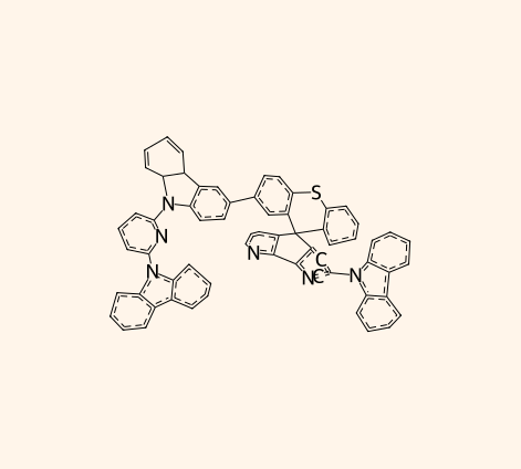 C1=CC2c3cc(-c4ccc5c(c4)C4(c6ccccc6S5)c5cccnc5-c5ncc(-n6c7ccccc7c7ccccc76)cc54)ccc3N(c3cccc(-n4c5ccccc5c5ccccc54)n3)C2C=C1